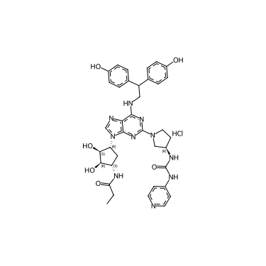 CCC(=O)N[C@H]1C[C@@H](n2cnc3c(NCC(c4ccc(O)cc4)c4ccc(O)cc4)nc(N4CC[C@@H](NC(=O)Nc5ccncc5)C4)nc32)[C@H](O)[C@@H]1O.Cl